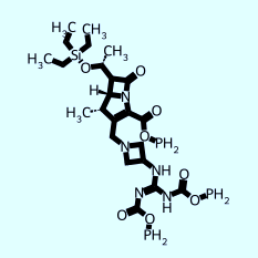 CC[Si](CC)(CC)O[C@H](C)C1C(=O)N2C(C(=O)OP)=C(CN3CC(NC(=NC(=O)OP)NC(=O)OP)C3)[C@H](C)[C@H]12